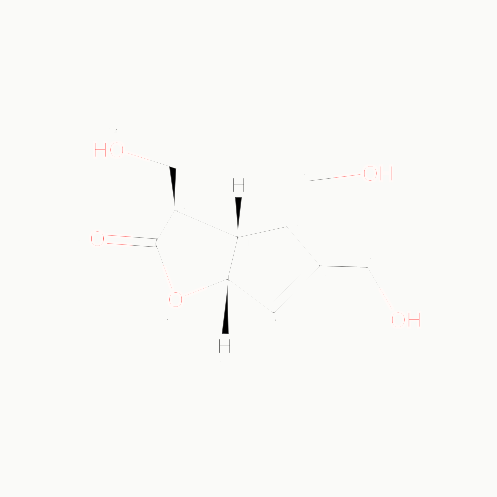 O=C1O[C@H]2C=C(CO)[C@@H](CO)[C@H]2[C@@H]1CO